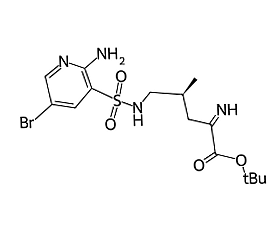 C[C@H](CNS(=O)(=O)c1cc(Br)cnc1N)CC(=N)C(=O)OC(C)(C)C